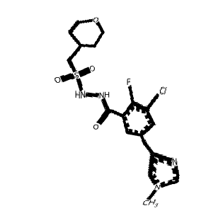 Cn1cnc(-c2cc(Cl)c(F)c(C(=O)NNS(=O)(=O)CC3CCOCC3)c2)c1